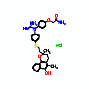 Cc1c2c(c3ccccc3c1O)OC(C)(CCSc1ccc(N(C(=N)N)c3ccc(OCC(N)=O)cc3)cc1)CC2.Cl